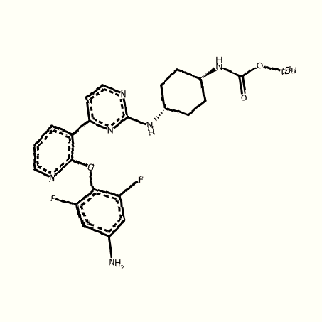 CC(C)(C)OC(=O)N[C@H]1CC[C@H](Nc2nccc(-c3cccnc3Oc3c(F)cc(N)cc3F)n2)CC1